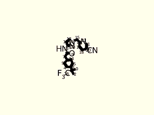 CC(C)(c1ccc(CC(=O)Nc2ccn(Cc3ccc(C#N)cn3)n2)cc1)C(F)(F)F